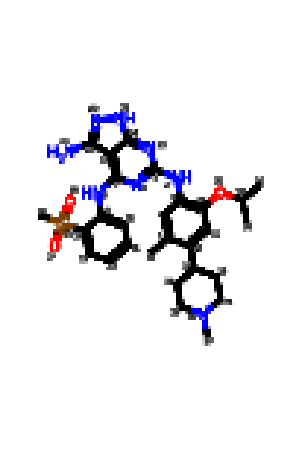 Cc1cc(Nc2nc(Nc3ccccc3S(C)(=O)=O)c3c(N)n[nH]c3n2)c(OC(C)C)cc1C1CCN(C)CC1